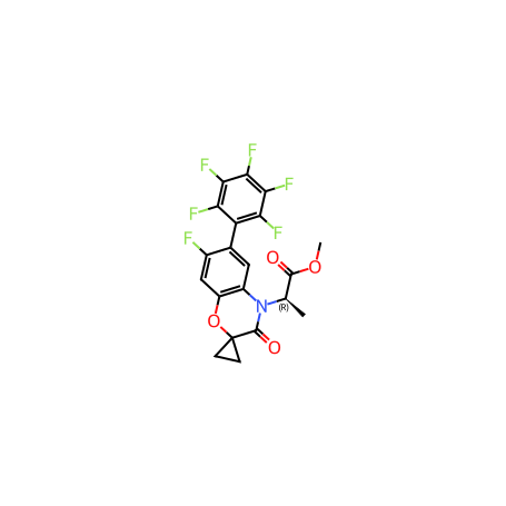 COC(=O)[C@@H](C)N1C(=O)C2(CC2)Oc2cc(F)c(-c3c(F)c(F)c(F)c(F)c3F)cc21